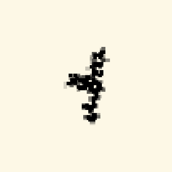 CNC(O)N1CCC2(C1)CN(C(=O)NC1=CNC(C)CN1)C1CC=C(CCCC(=O)N3CCC3)C=C12